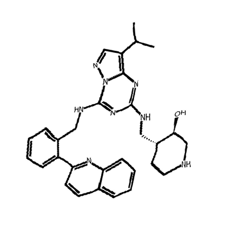 CC(C)c1cnn2c(NCc3ccccc3-c3ccc4ccccc4n3)nc(NC[C@H]3CCNC[C@@H]3O)nc12